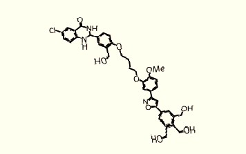 COc1ccc(-c2cc(-c3cc(CO)c(CO)c(CO)c3)on2)cc1OCCCCOc1ccc(C2NC(=O)c3cc(Cl)ccc3N2)cc1CO